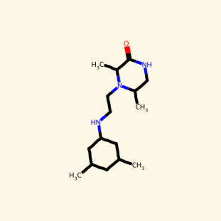 CC1CC(C)CC(NCCN2C(C)CNC(=O)C2C)C1